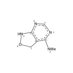 CNc1ncnc2c1CON2